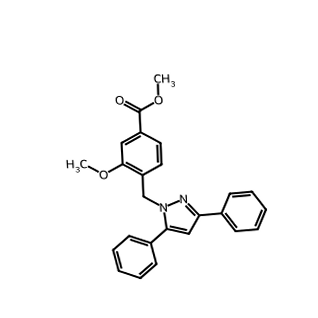 COC(=O)c1ccc(Cn2nc(-c3ccccc3)cc2-c2ccccc2)c(OC)c1